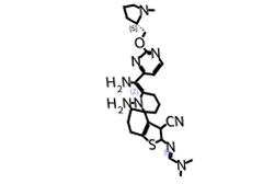 CN(C)/C=N/C1SC2=C(C1C#N)C1(CCC2)CCC/C(=C(/N)c2ccnc(OC[C@@H]3CCCN3C)n2)N1N